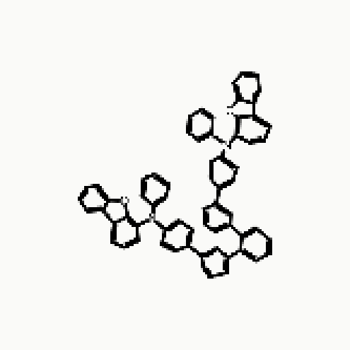 c1ccc(N(c2ccc(-c3cccc(-c4ccccc4-c4cccc(-c5ccc(N(c6ccccc6)c6cccc7c6oc6ccccc67)cc5)c4)c3)cc2)c2cccc3c2oc2ccccc23)cc1